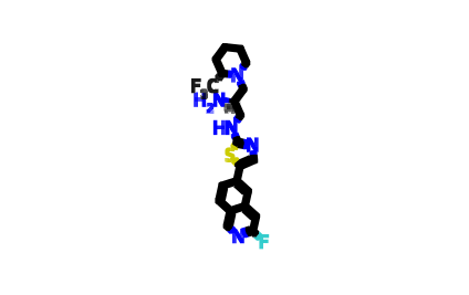 N[C@H](CNc1ncc(-c2ccc3cnc(F)cc3c2)s1)CN1CCCCC1C(F)(F)F